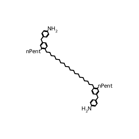 CCCCCc1cc(Cc2ccc(N)cc2)ccc1CCCCCCCCCCCCCCCCCCCCc1ccc(Cc2ccc(N)cc2)cc1CCCCC